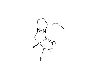 CC[C@H]1CCN2C[C@@](C)(C(F)F)C(=O)N12